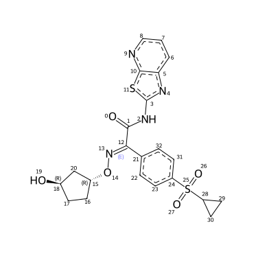 O=C(Nc1nc2cccnc2s1)/C(=N/O[C@@H]1CC[C@@H](O)C1)c1ccc(S(=O)(=O)C2CC2)cc1